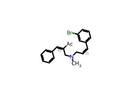 CC(=O)/C(=C/c1ccccc1)CN(C)C/C=C\c1cccc(Br)c1